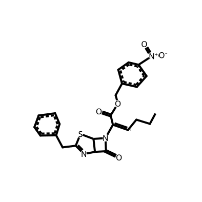 CCC[C]=C(C(=O)OCc1ccc([N+](=O)[O-])cc1)N1C(=O)C2N=C(Cc3ccccc3)SC21